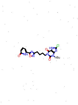 CCCCn1c(=O)n(CCCCc2noc(-c3cccc(=O)[nH]3)n2)c(=O)c2[nH]c(Cl)nc21